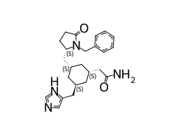 NC(=O)C[C@@H]1C[C@@H](Cc2cnc[nH]2)C[C@H](C[C@@H]2CCC(=O)N2Cc2ccccc2)C1